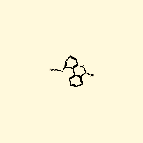 CCCC(C)Oc1ccccc1-c1ccccc1B(O)O